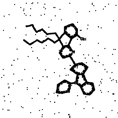 CCCCCCC1(CCCCCC)c2ccc(-c3ccc4c5ccccc5n(-c5ccccn5)c4c3)nc2-c2c(O)cccc21